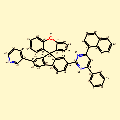 c1ccc(-c2cc(-c3cccc4ccccc34)nc(-c3ccc4c(c3)C3(c5ccccc5Oc5ccccc53)c3cc(-c5cccnc5)ccc3-4)n2)cc1